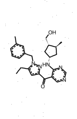 CCc1cc(C(=O)c2cncnc2N[C@@H]2C[C@H](CO)[C@@H](C)C2)nn1Cc1cccc(C)c1